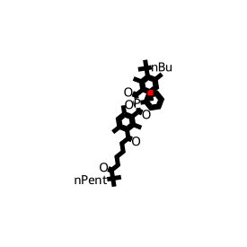 CCCCCC(C)(C)C(=O)CCCCC(=O)c1c(C)cc(C)c(C(=O)P(=O)(C(=O)c2c(C)cc(C)c(C(C)(C)CCCC)c2C)c2ccccc2)c1C